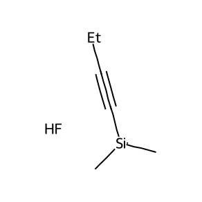 CCC#C[Si](C)C.F